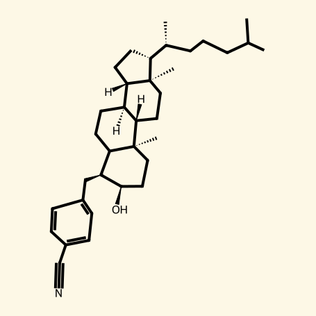 CC(C)CCC[C@@H](C)[C@H]1CC[C@H]2[C@@H]3CCC4[C@H](Cc5ccc(C#N)cc5)[C@H](O)CC[C@]4(C)[C@H]3CC[C@]12C